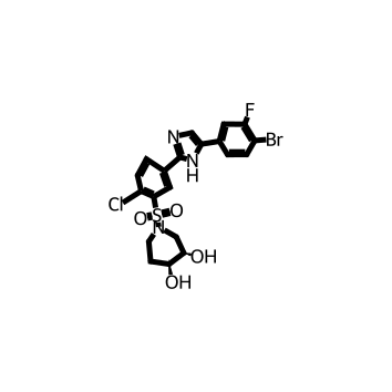 O=S(=O)(c1cc(-c2ncc(-c3ccc(Br)c(F)c3)[nH]2)ccc1Cl)N1CC[C@H](O)[C@@H](O)C1